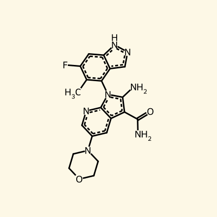 Cc1c(F)cc2[nH]ncc2c1-n1c(N)c(C(N)=O)c2cc(N3CCOCC3)cnc21